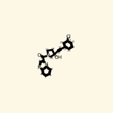 O=C(c1cnc2ccccc2n1)N1CCC(O)(C#Cc2cccc(Cl)c2)C1